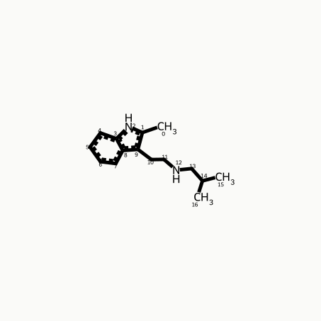 Cc1[nH]c2ccccc2c1CCNCC(C)C